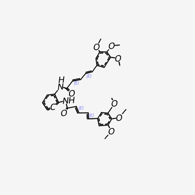 COc1cc(/C=C/C=C/C(=O)Nc2ccccc2NC(=O)/C=C/C=C/c2cc(OC)c(OC)c(OC)c2)cc(OC)c1OC